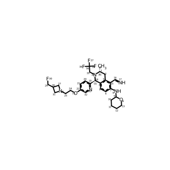 C[C@@H]1Cc2c(ccc(NC3CCCCO3)c2C=N)[C@@H](c2ccc(OCCN3CC(CF)C3)cn2)N1CC(F)(F)F